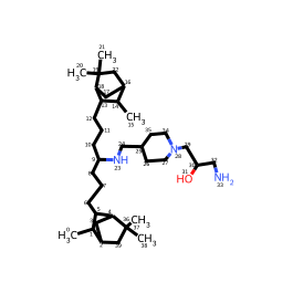 CC1C2CC(C1CCCC(CCCC1C(C)C3CC1C(C)(C)C3)NCC1CCN(CC(O)CN)CC1)C(C)(C)C2